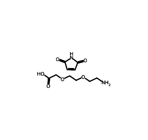 NCCOCCOCC(=O)O.O=C1C=CC(=O)N1